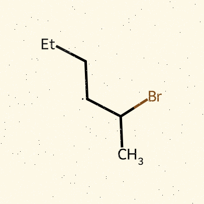 CCC[CH]C(C)Br